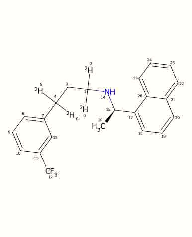 [2H]C([2H])(CC([2H])([2H])c1cccc(C(F)(F)F)c1)N[C@H](C)c1cccc2ccccc12